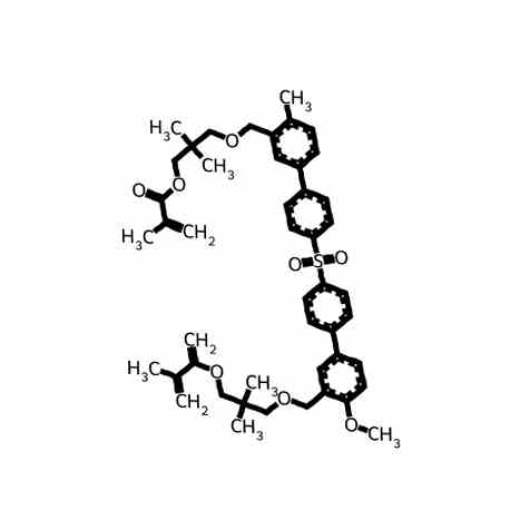 C=C(C)C(=C)OCC(C)(C)COCc1cc(-c2ccc(S(=O)(=O)c3ccc(-c4ccc(C)c(COCC(C)(C)COC(=O)C(=C)C)c4)cc3)cc2)ccc1OC